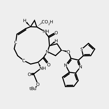 CC(C)(C)OC(=O)N[C@H]1CCCCC/C=C\[C@@H]2C[C@@]2(C(=O)O)NC(=O)[C@@H]2C[C@@H](Oc3nc4ccccc4nc3-c3cccs3)CN2C1=O